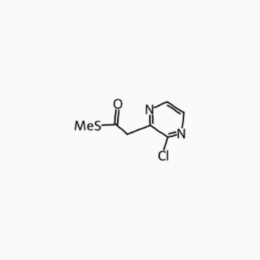 CSC(=O)Cc1nccnc1Cl